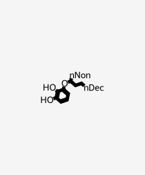 CCCCCCCCCCCCC(CCCCCCCCC)Oc1cccc(O)c1O